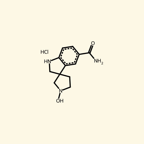 Cl.NC(=O)c1ccc2c(c1)C1(CCN(O)C1)CN2